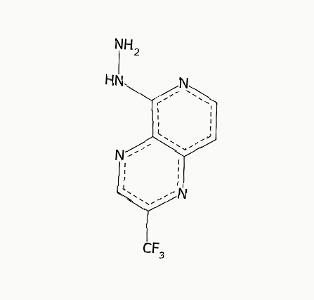 NNc1nccc2nc(C(F)(F)F)cnc12